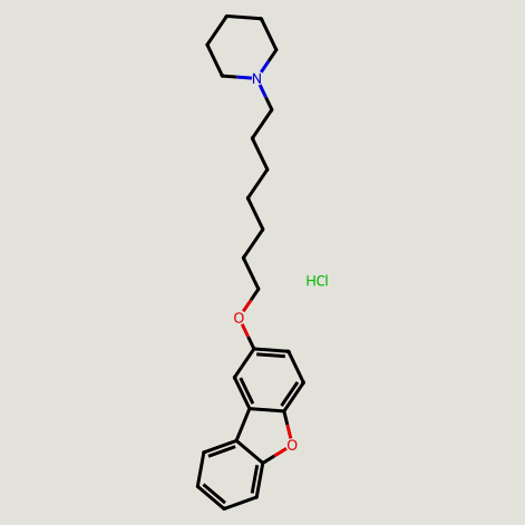 Cl.c1ccc2c(c1)oc1ccc(OCCCCCCCN3CCCCC3)cc12